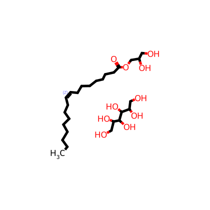 CCCCCCCC/C=C\CCCCCCCC(=O)OCC(O)CO.OCC(O)C(O)C(O)C(O)CO